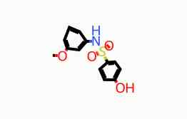 COc1cccc(NS(=O)(=O)c2ccc(O)cc2)c1